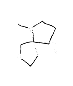 C[C@H]1CCN(C)[C@@]12CCOC2